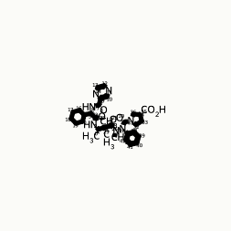 C[C@H](NC(=O)[C@@H](NC(=O)c1cnccn1)C1CCCCC1)C(C)(C)C(=O)N(C)N(C(=O)N1CCC(C(=O)O)C1)c1ccccc1